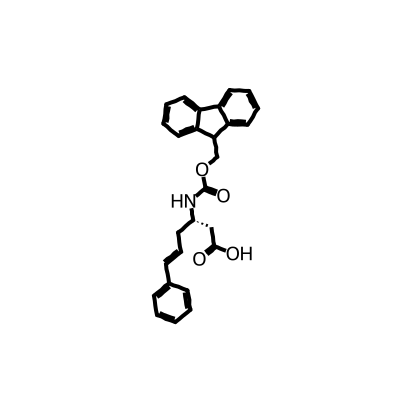 O=C(O)C[C@H](CC=Cc1ccccc1)NC(=O)OCC1c2ccccc2-c2ccccc21